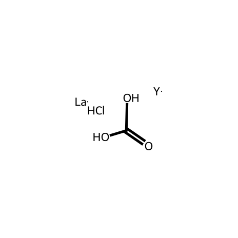 Cl.O=C(O)O.[La].[Y]